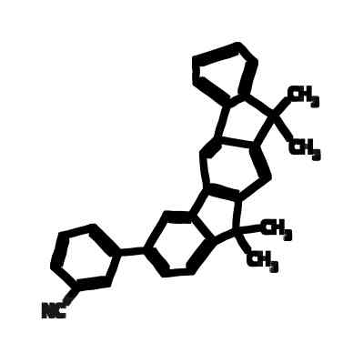 CC1(C)c2ccccc2-c2cc3c(cc21)C(C)(C)c1ccc(-c2cccc(C#N)c2)cc1-3